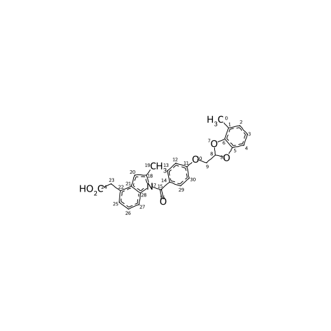 Cc1cccc2c1OC(COc1ccc(C(=O)n3c(C)cc4c(CC(=O)O)cccc43)cc1)O2